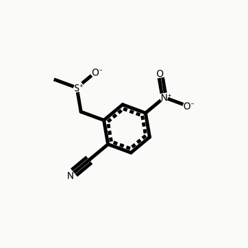 C[S+]([O-])Cc1cc([N+](=O)[O-])ccc1C#N